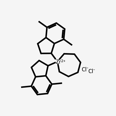 CC1=CC=C(C)C2C1CC[CH]2[Zr+2]1([CH]2CCC3C(C)=CC=C(C)C32)[CH2]CCCC[CH2]1.[Cl-].[Cl-]